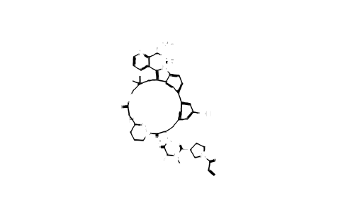 C=CC(=O)N1CC[C@H](C(=O)N(C)[C@H](C(=O)N[C@H]2Cc3cc(O)cc(c3)-c3ccc4c(c3)c(c(-c3cccnc3[C@@H](OC)C(F)(F)F)n4CC)CC(C)(C)COC(=O)C[C@@H]3CCCN(N3)C2=O)C(C)C)C1